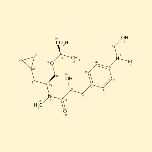 CCN(CO)c1ccc(C[C@@H](O)C(=O)N(C)[C@H](CO[C@H](C)C(=O)O)CC2CC2)cc1